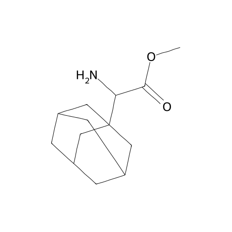 COC(=O)C(N)C12CC3CC(CC(C3)C1)C2